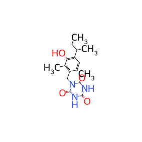 CCC(C)c1cc(C)c(Cn2c(=O)[nH]c(=O)[nH]c2=O)c(C)c1O